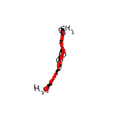 C=CCCCCCCCCCCCCCOC1CCC(C(=O)Oc2ccc(OC(=O)c3ccc(C#CCCCCCCCCCOC(=O)C=C)cc3)cc2)CC1